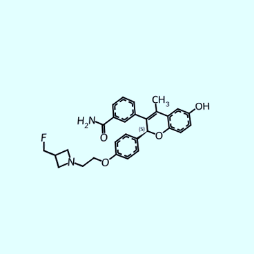 CC1=C(c2cccc(C(N)=O)c2)[C@H](c2ccc(OCCN3CC(CF)C3)cc2)Oc2ccc(O)cc21